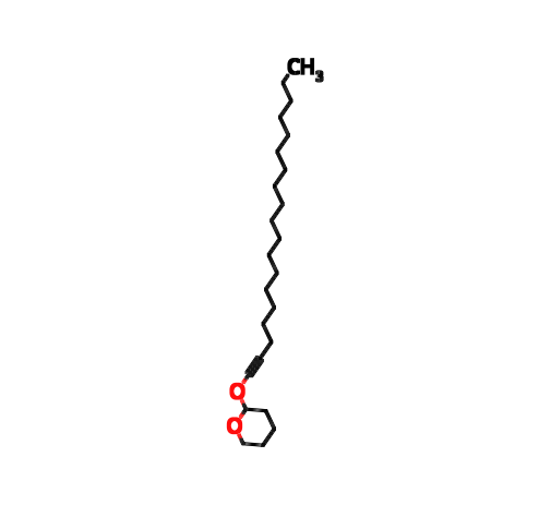 CCCCCCCCCCCCCCCCCC#COC1CCCCO1